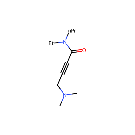 CCCN(CC)C(=O)C#CCN(C)C